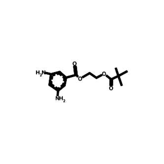 CC(C)(C)C(=O)OCCOC(=O)c1cc(N)cc(N)c1